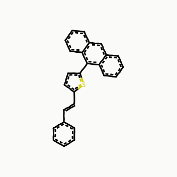 C(=C\c1ccc(-c2c3ccccc3cc3ccccc23)s1)/c1ccccc1